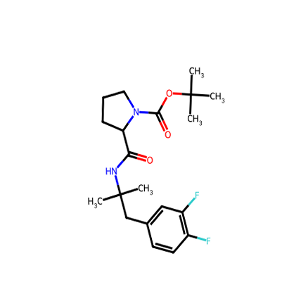 CC(C)(Cc1ccc(F)c(F)c1)NC(=O)C1CCCN1C(=O)OC(C)(C)C